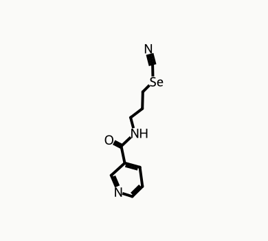 N#C[Se]CCCNC(=O)c1cccnc1